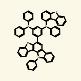 c1ccc(N(c2ccccc2)c2cc(-c3cc4c5ccccc5n(-c5ccccc5)c4c4c3oc3ccccc34)cc(N(c3ccccc3)c3cccc4oc5ccccc5c34)c2)cc1